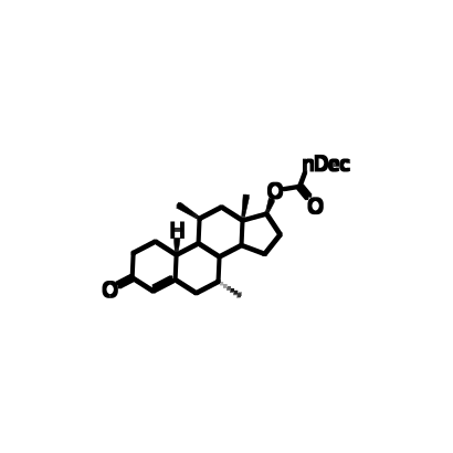 CCCCCCCCCCC(=O)O[C@H]1CCC2C3C([C@@H](C)C[C@@]21C)[C@H]1CCC(=O)C=C1C[C@H]3C